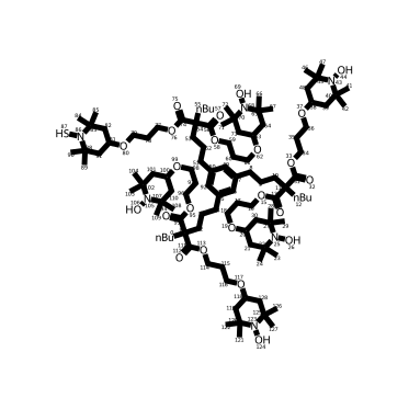 CCCCC(CCCc1cc(CCCC(CCCC)(C(=O)OCCCOC2CC(C)(C)N(O)C(C)(C)C2)C(=O)OCCCOC2CC(C)(C)N(O)C(C)(C)C2)cc(CCCC(CCCC)(C(=O)OCCCOC2CC(C)(C)N(O)C(C)(C)C2)C(=O)OCCCOC2CC(C)(C)N(S)C(C)(C)C2)c1)(C(=O)OCCCOC1CC(C)(C)N(O)C(C)(C)C1)C(=O)OCCCOC1CC(C)(C)N(O)C(C)(C)C1